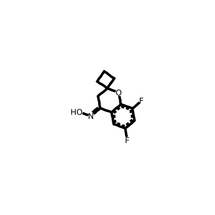 ON=C1CC2(CCC2)Oc2c(F)cc(F)cc21